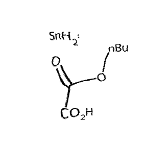 CCCCOC(=O)C(=O)O.[SnH2]